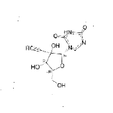 C#CC1(O)[C@@H](O)[C@@H](CO)O[C@H]1n1cnc(=O)[nH]c1=O